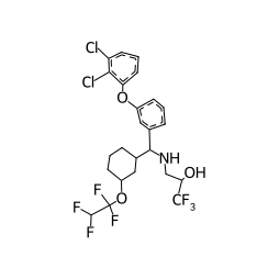 OC(CNC(c1cccc(Oc2cccc(Cl)c2Cl)c1)C1CCCC(OC(F)(F)C(F)F)C1)C(F)(F)F